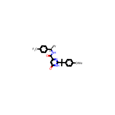 COc1ccc(C(C)(C)c2nc(C(=O)N[C@@H](c3ccc(C(F)(F)F)cc3)C(C)C)cc(=O)[nH]2)cc1